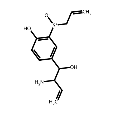 C=CC[S+]([O-])c1cc(C(O)C(N)C=C)ccc1O